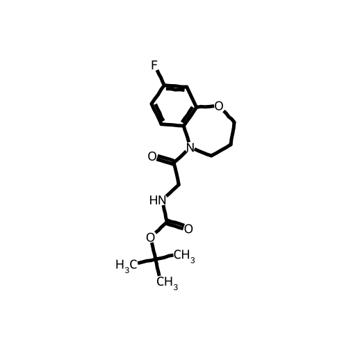 CC(C)(C)OC(=O)NCC(=O)N1CCCOc2cc(F)ccc21